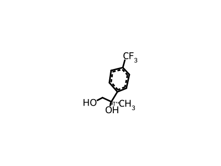 C[C@](O)(CO)c1ccc(C(F)(F)F)cc1